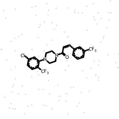 O=C(/C=C\c1cccc(C(F)(F)F)c1)N1CCN(c2cc(Cl)ccc2C(F)(F)F)CC1